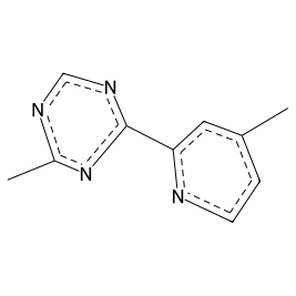 Cc1ccnc(-c2ncnc(C)n2)c1